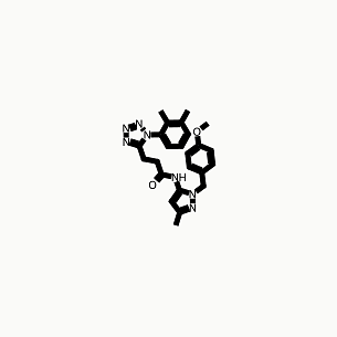 COc1ccc(Cn2nc(C)cc2NC(=O)CCc2nnnn2-c2cccc(C)c2C)cc1